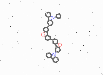 c1ccc(-n2c3ccccc3c3cc(-c4ccc5oc6ccc(-c7ccc8oc9ccc(-n%10c%11ccccc%11c%11ccccc%11%10)cc9c8c7)cc6c5c4)ccc32)cc1